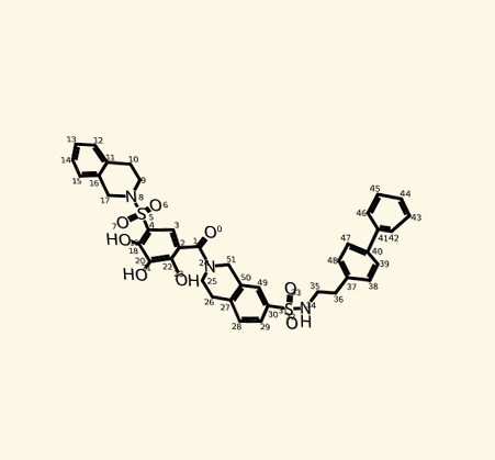 O=C(c1cc(S(=O)(=O)N2CCc3ccccc3C2)c(O)c(O)c1O)N1CCc2ccc(S(=O)(=O)NCCc3ccc(-c4ccccc4)cc3)cc2C1